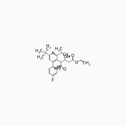 C=COC(=O)CC(O)C(c1c(-c2ccc(F)cc2)cc(C(C)(C)C)nc1C(C)C)[PH](=O)O